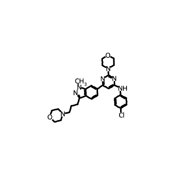 Cn1nc(CCCN2CCOCC2)c2ccc(-c3cc(Nc4ccc(Cl)cc4)nc(N4CCOCC4)n3)cc21